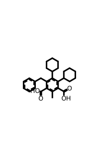 Cc1c(C(=O)O)c(Cc2ccccc2)c(C2CCCCC2)c(C2CCCCC2)c1C(=O)O